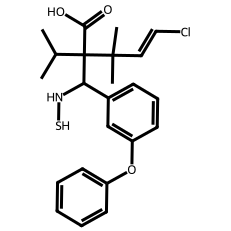 CC(C)C(C(=O)O)(C(NS)c1cccc(Oc2ccccc2)c1)C(C)(C)C=CCl